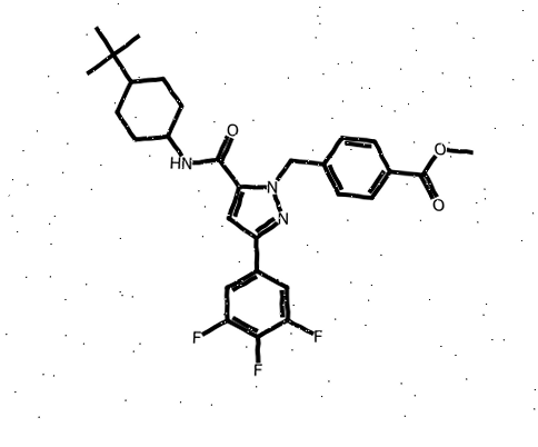 COC(=O)c1ccc(Cn2nc(-c3cc(F)c(F)c(F)c3)cc2C(=O)NC2CCC(C(C)(C)C)CC2)cc1